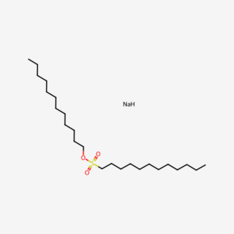 CCCCCCCCCCCCOS(=O)(=O)CCCCCCCCCCCC.[NaH]